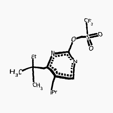 CCC(C)(C)c1nc(OS(=O)(=O)C(F)(F)F)ncc1C(C)C